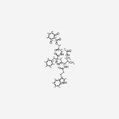 CC(C)[C@H](NC(=O)CCc1c[nH]c2ccccc12)C1=NOC(Cc2ccccc2)(C(=O)N[C@@H](CC(=O)O)C(=O)COC(=O)c2c(Cl)cccc2Cl)C1